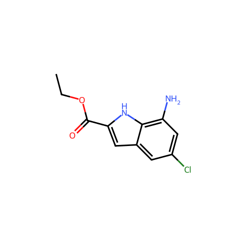 CCOC(=O)c1cc2cc(Cl)cc(N)c2[nH]1